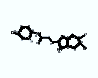 O=C(CSc1nc2cc(F)c(F)cc2[nH]1)Nc1ccc(Cl)cn1